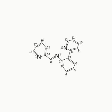 C(=N\c1ccccc1-c1ccccn1)/c1ccccn1